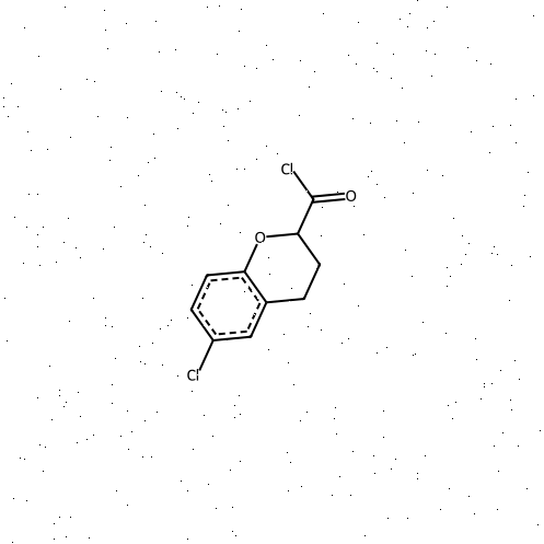 O=C(Cl)C1CCc2cc(Cl)ccc2O1